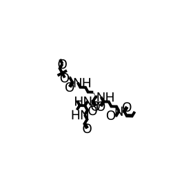 C/C=C\C(=O)N(C=O)CCCC(=O)N[C@@H](CCCCNC(=O)COC(C)(C)COC)C(=O)NC(C(=O)NCC=O)C(C)C